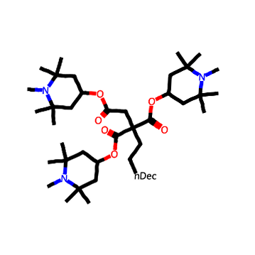 CCCCCCCCCCCCC(CC(=O)OC1CC(C)(C)N(C)C(C)(C)C1)(C(=O)OC1CC(C)(C)N(C)C(C)(C)C1)C(=O)OC1CC(C)(C)N(C)C(C)(C)C1